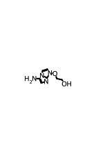 Nc1cnc2n(OCCO)ccn12